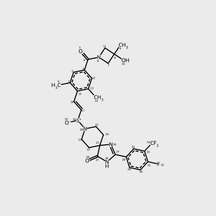 Cc1cc(C(=O)N2CC(C)(O)C2)cc(C)c1/C=C/[S+]([O-])N1CCC2(CC1)N=C(c1ccc(F)c(C(F)(F)F)c1)NC2=O